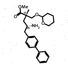 COC(=O)[C@](C)(COC1CCCCO1)C[C@H](N)Cc1ccc(-c2ccccc2)cc1